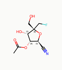 CC(=O)O[C@H]1[C@H](C#N)O[C@@](CO)(CF)[C@H]1O